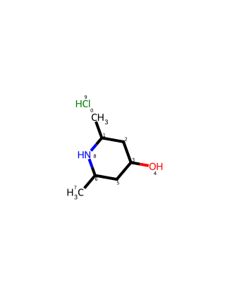 CC1CC(O)CC(C)N1.Cl